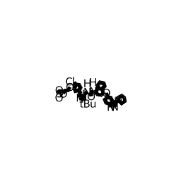 CC(C)(C)c1cc(NC(=O)N[C@H]2CC[C@@H](Oc3ccc4nnc(N5CCCCC5)n4c3)c3ccccc32)n(-c2ccc(Cl)c(OCCOS(C)(=O)=O)c2)n1